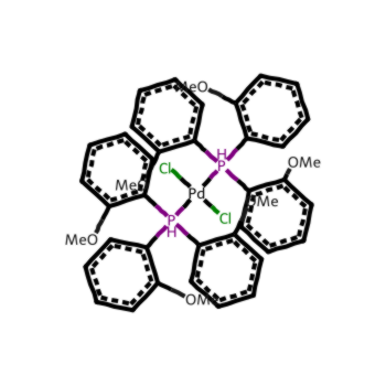 COc1ccccc1[PH](c1ccccc1OC)(c1ccccc1OC)[Pd]([Cl])([Cl])[PH](c1ccccc1OC)(c1ccccc1OC)c1ccccc1OC